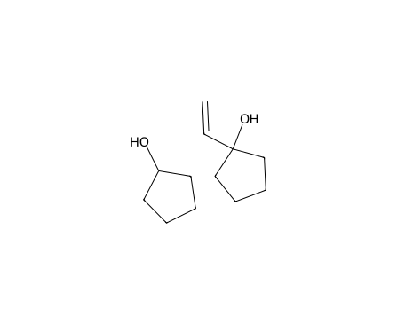 C=CC1(O)CCCC1.OC1CCCC1